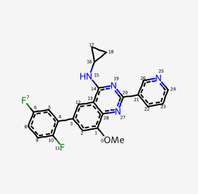 COc1cc(-c2cc(F)ccc2F)cc2c(NC3CC3)nc(-c3cccnc3)nc12